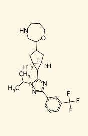 CC(C)n1nc(-c2cccc(C(F)(F)F)c2)nc1C1[C@H]2CC(C3CNCCCO3)C[C@@H]12